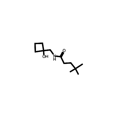 CC(C)(C)CCC(=O)NCC1(O)CCC1